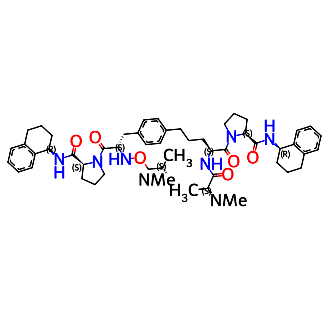 CN[C@@H](C)C(=O)N[C@@H](CCCc1ccc(C[C@H](NOC[C@H](C)NC)C(=O)N2CCC[C@H]2C(=O)N[C@@H]2CCCc3ccccc32)cc1)C(=O)N1CCC[C@H]1C(=O)N[C@@H]1CCCc2ccccc21